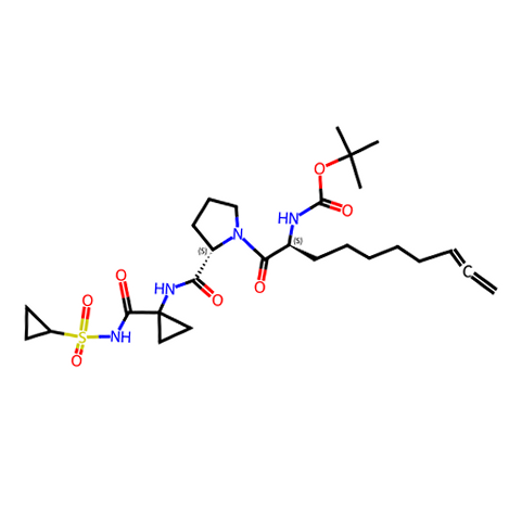 C=C=CCCCCC[C@H](NC(=O)OC(C)(C)C)C(=O)N1CCC[C@H]1C(=O)NC1(C(=O)NS(=O)(=O)C2CC2)CC1